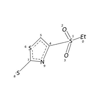 CCS(=O)(=O)c1csc([S])n1